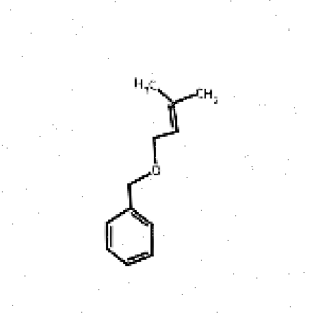 CC(C)=CCOCc1ccccc1